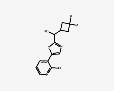 OC(c1ncc(-c2cccnc2Cl)o1)C1CC(F)(F)C1